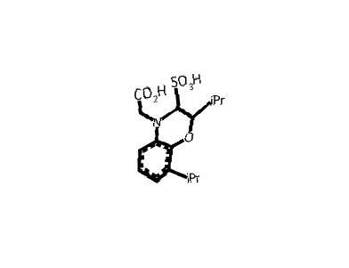 CC(C)c1cccc2c1OC(C(C)C)C(S(=O)(=O)O)N2CC(=O)O